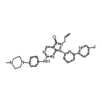 C=CCn1c(=O)c2cnc(Nc3ccc(N4CCN(C)CC4)cc3)nc2n1-c1cccc(-c2ccc(F)cn2)n1